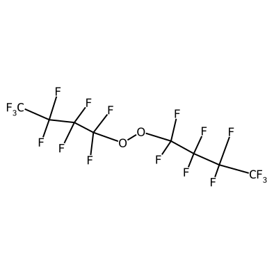 FC(F)(F)C(F)(F)C(F)(F)C(F)(F)OOC(F)(F)C(F)(F)C(F)(F)C(F)(F)F